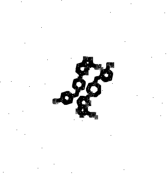 FC(F)(F)c1nnc2ccc(N3CCN(Cc4ccc(Cl)cc4)CC3)nn12.N#Cc1cccc(CN2CCCN(c3ccc4nnc(C(F)(F)F)n4n3)CC2)c1